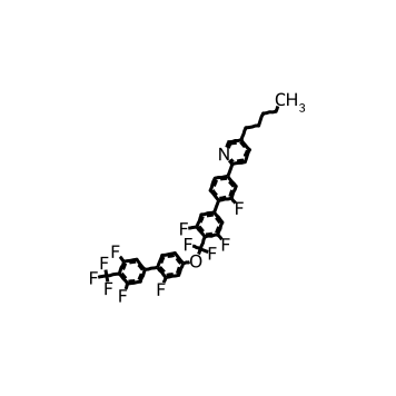 CCCCCc1ccc(-c2ccc(-c3cc(F)c(C(F)(F)Oc4ccc(-c5cc(F)c(C(F)(F)F)c(F)c5)c(F)c4)c(F)c3)c(F)c2)nc1